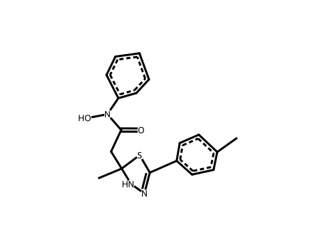 Cc1ccc(C2=NNC(C)(CC(=O)N(O)c3ccccc3)S2)cc1